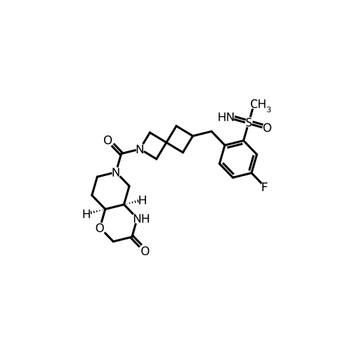 CS(=N)(=O)c1cc(F)ccc1CC1CC2(C1)CN(C(=O)N1CC[C@@H]3OCC(=O)N[C@@H]3C1)C2